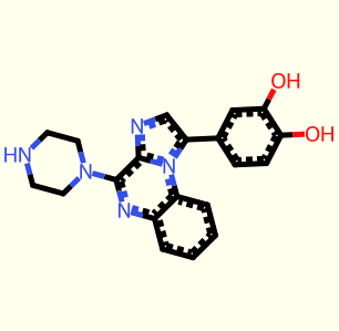 Oc1ccc(-c2cnc3c(N4CCNCC4)nc4ccccc4n23)cc1O